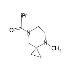 CC(C)C(=O)N1CCN(C)C2(CC2)C1